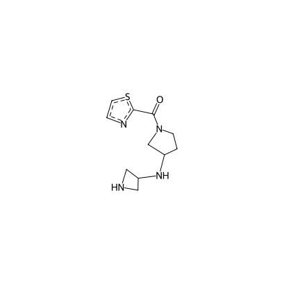 O=C(c1nccs1)N1CCC(NC2CNC2)C1